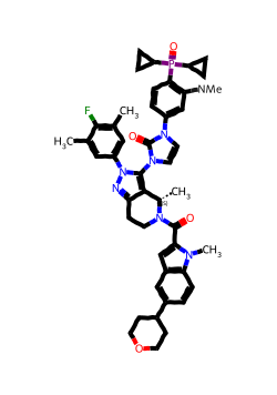 CNc1cc(-n2ccn(-c3c4c(nn3-c3cc(C)c(F)c(C)c3)CCN(C(=O)c3cc5cc(C6CCOCC6)ccc5n3C)[C@H]4C)c2=O)ccc1P(=O)(C1CC1)C1CC1